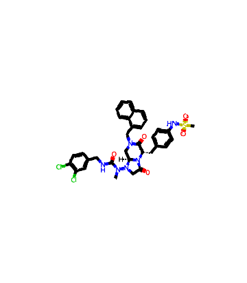 CN(C(=O)NCc1ccc(Cl)c(Cl)c1)N1CC(=O)N2[C@@H](Cc3ccc(NS(C)(=O)=O)cc3)C(=O)N(Cc3cccc4ccccc34)C[C@@H]21